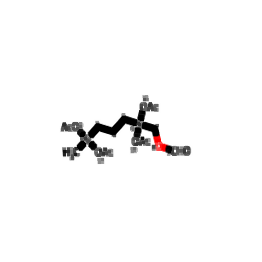 CC(=O)O[Si](C)(CCC[Si](COC=O)(OC(C)=O)OC(C)=O)OC(C)=O